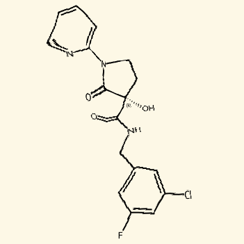 O=C(NCc1cc(F)cc(Cl)c1)[C@]1(O)CCN(c2ccccn2)C1=O